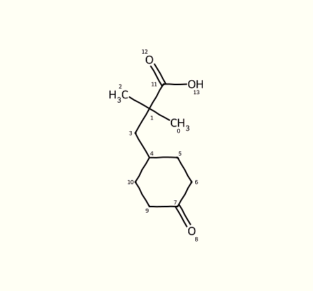 CC(C)(CC1CCC(=O)CC1)C(=O)O